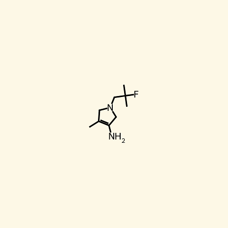 CC1=C(N)CN(CC(C)(C)F)C1